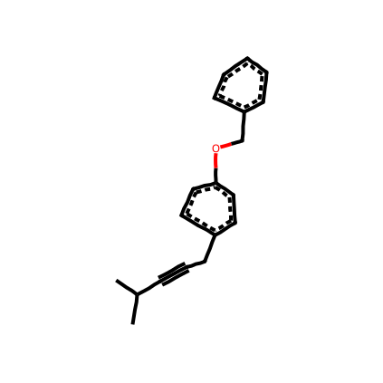 CC(C)C#CCc1ccc(OCc2ccccc2)cc1